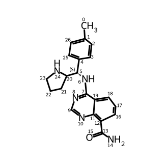 Cc1ccc([C@H](Nc2ncnc3c(C(N)=O)cccc23)C2CCCN2)cc1